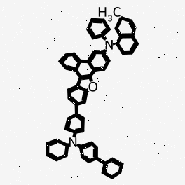 CC1C=CC2=C(C1)[C@H](N(c1ccccc1)c1ccc3c(c1)c1ccccc1c1c4ccc(-c5ccc(N(c6ccc(C7=CCCC=C7)cc6)C6C=CC=CC6)cc5)cc4oc31)CC=C2